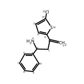 C=C(CC(N)c1ccccc1)c1ccc(Cl)s1